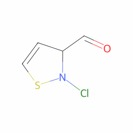 O=CC1C=CSN1Cl